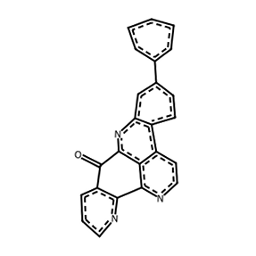 O=C1c2cccnc2-c2nccc3c2c1nc1cc(-c2ccccc2)ccc13